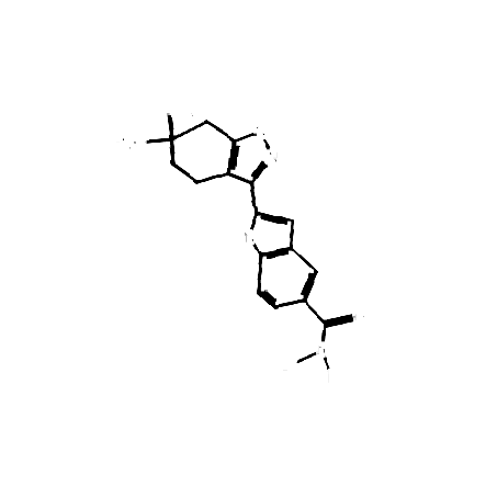 CCN(CC)C(=O)c1ccc2[nH]c(-c3n[nH]c4c3CCC(C)(C)C4)cc2c1